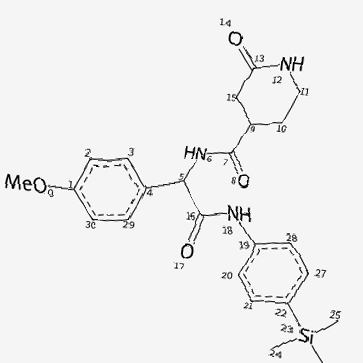 COc1ccc(C(NC(=O)C2CCNC(=O)C2)C(=O)Nc2ccc([Si](C)(C)C)cc2)cc1